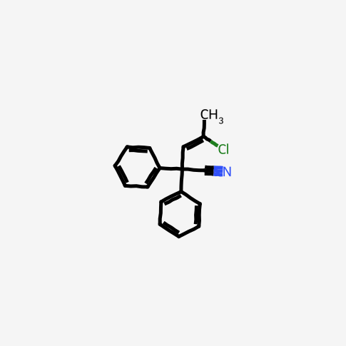 CC(Cl)=CC(C#N)(c1ccccc1)c1ccccc1